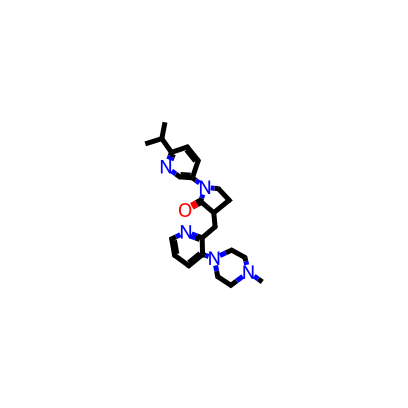 CC(C)c1ccc(N2CCC(Cc3ncccc3N3CCN(C)CC3)C2=O)cn1